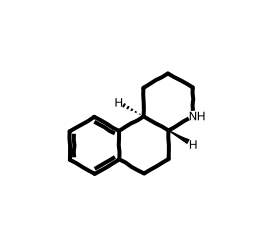 c1ccc2c(c1)CC[C@H]1NCCC[C@H]21